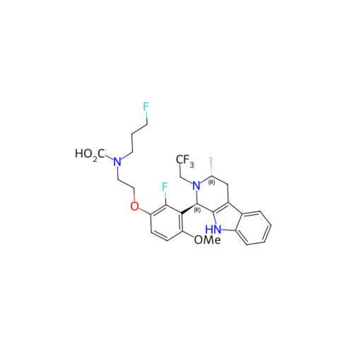 COc1ccc(OCCN(CCCF)C(=O)O)c(F)c1[C@@H]1c2[nH]c3ccccc3c2C[C@@H](C)N1CC(F)(F)F